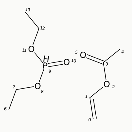 C=COC(C)=O.CCO[PH](=O)OCC